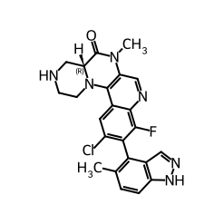 Cc1ccc2[nH]ncc2c1-c1c(Cl)cc2c3c(cnc2c1F)N(C)C(=O)[C@H]1CNCCN31